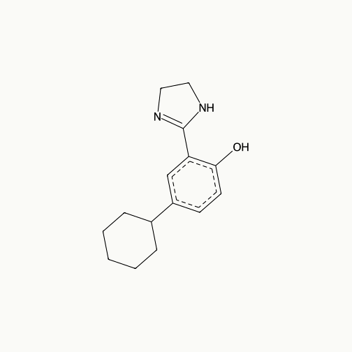 Oc1ccc(C2CCCCC2)cc1C1=NCCN1